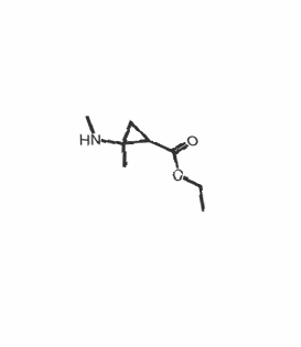 CCOC(=O)C1CC1(C)NC